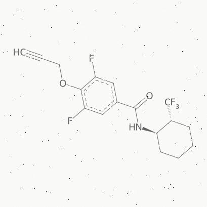 C#CCOc1c(F)cc(C(=O)N[C@@H]2CCCC[C@H]2C(F)(F)F)cc1F